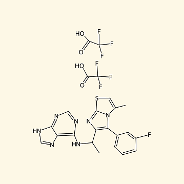 Cc1csc2nc(C(C)Nc3ncnc4[nH]cnc34)c(-c3cccc(F)c3)n12.O=C(O)C(F)(F)F.O=C(O)C(F)(F)F